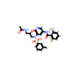 CC(=O)NCC1CN(S(=O)(=O)c2cccc(C)c2)c2cc(NC(=O)c3c(F)cccc3Cl)cnc2O1